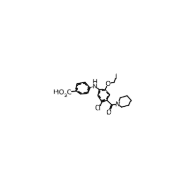 O=C(O)c1ccc(Nc2cc(Cl)c(C(=O)N3CCCCC3)cc2OCI)cc1